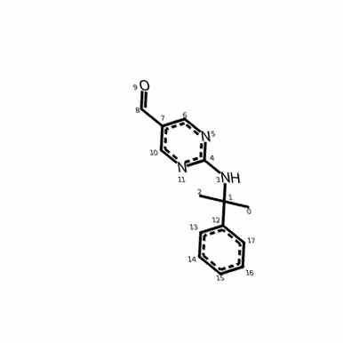 CC(C)(Nc1ncc(C=O)cn1)c1ccccc1